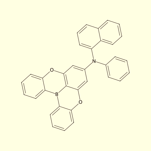 c1ccc(N(c2cc3c4c(c2)Oc2ccccc2B4c2ccccc2O3)c2cccc3ccccc23)cc1